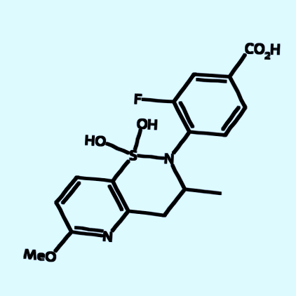 COc1ccc2c(n1)CC(C)N(c1ccc(C(=O)O)cc1F)S2(O)O